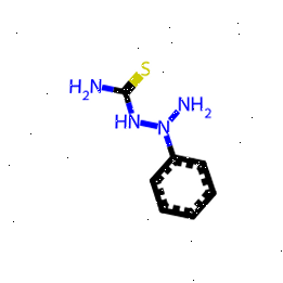 NC(=S)NN(N)c1ccccc1